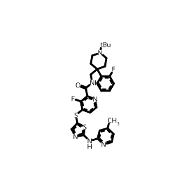 Cc1ccnc(Nc2ncc(Sc3ccnc(C(=O)NCC4(c5ccccc5F)CCN(C(C)(C)C)CC4)c3F)s2)c1